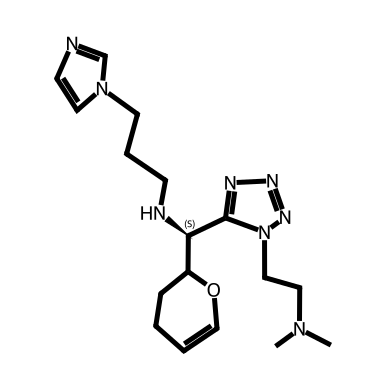 CN(C)CCn1nnnc1[C@H](NCCCn1ccnc1)C1CCC=CO1